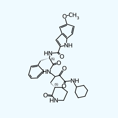 COc1ccc2[nH]c(C(=O)N[C@@H](Cc3ccccc3)C(=O)NC(C[C@@H]3CCCNC3=O)C(=O)C(=O)NC3CCCCC3)cc2c1